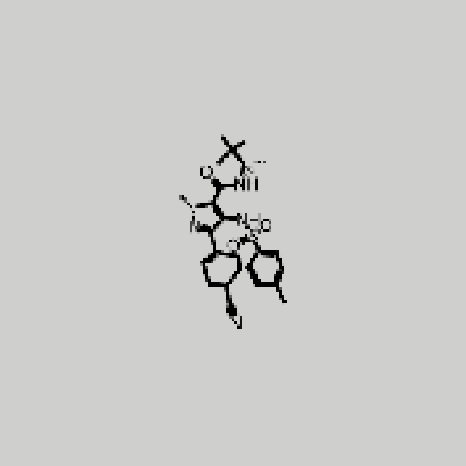 Cc1ccc(S(=O)(=O)Nc2c(C3=CCC(C#N)CC3)nn(C)c2C(=O)N[C@@H](C)C(C)(C)C)cc1